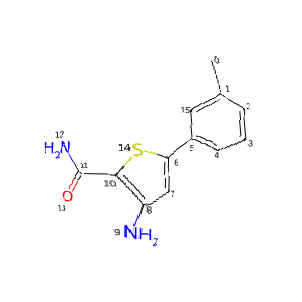 Cc1cccc(-c2cc(N)c(C(N)=O)s2)c1